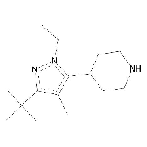 CCn1nc(C(C)(C)C)c(C)c1C1CCNCC1